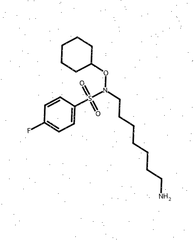 NCCCCCCCN(OC1CCCCC1)S(=O)(=O)c1ccc(F)cc1